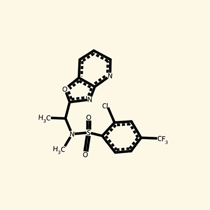 CC(c1nc2ncccc2o1)N(C)S(=O)(=O)c1ccc(C(F)(F)F)cc1Cl